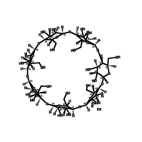 OC[C@H]1O[C@@H]2O[C@H]3[C@H](O)[C@@H](O)[C@@H](O[C@H]4[C@H](O)[C@@H](O)[C@@H](O[C@H]5[C@H](O)[C@@H](O)[C@@H](O[C@H]6[C@H](O)[C@@H](O)[C@@H](O[C@H]7[C@H](O)[C@@H](O)[C@@H](O[C@H]8[C@H](O)[C@@H](O)[C@@H](O[C@H]1[C@H](O)[C@H]2O)O[C@@H]8CO)O[C@@H]7CO)O[C@@H]6CO)O[C@@H]5CO)O[C@@H]4CO)O[C@@H]3CO.[Co]